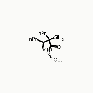 CCCCCCCCOC(=O)C([SiH3])(CCC)C(CCC)CCCCCCCC